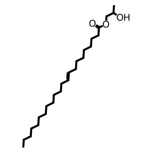 CCCCCCCCCCCCC=CCCCCCCCC(=O)OCC(C)O